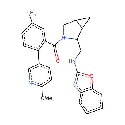 COc1ccc(-c2ccc(C)cc2C(=O)N2CC3CC3C2CNc2nc3ccccc3o2)cn1